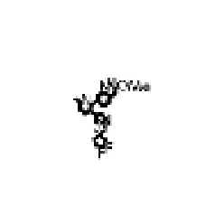 COc1cc2ccc(-c3nc(C)ccc3-c3cnn(C[C@@]4(C)CCC(F)(F)C4)c3)cc2nn1